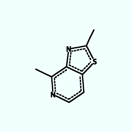 Cc1nc2c(C)nccc2s1